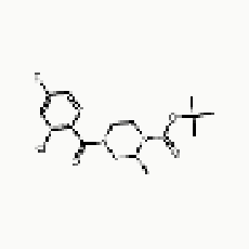 C[C@H]1CN(C(=O)c2ccc(F)cc2Cl)CCN1C(=O)OC(C)(C)C